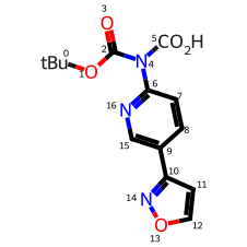 CC(C)(C)OC(=O)N(C(=O)O)c1ccc(-c2ccon2)cn1